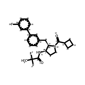 CC(F)(F)C(=O)N[C@@H]1CCN(C(=O)C2CCC2)[C@@H]1Cc1cccc(-c2cccc(F)c2)c1